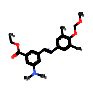 CCOC(=O)c1cc(/C=C/c2cc(C)c(OCOC)c(C)c2)cc(N(C)C)c1